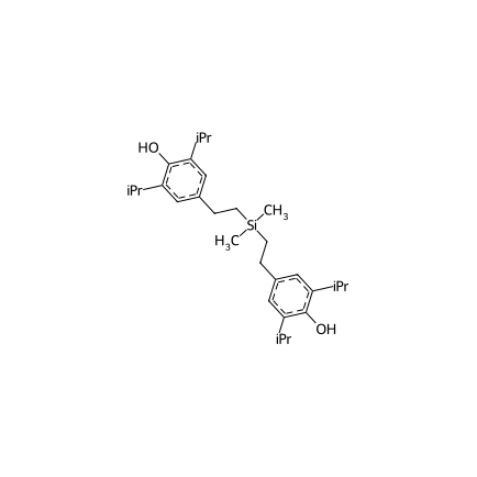 CC(C)c1cc(CC[Si](C)(C)CCc2cc(C(C)C)c(O)c(C(C)C)c2)cc(C(C)C)c1O